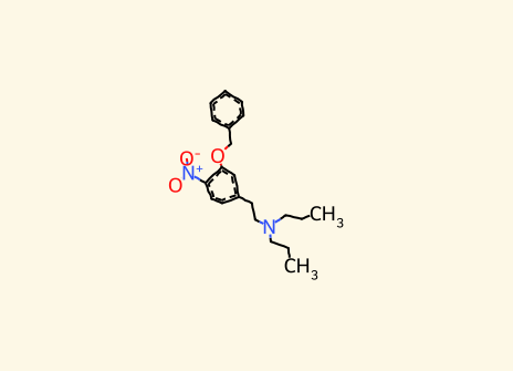 CCCN(CCC)CCc1ccc([N+](=O)[O-])c(OCc2ccccc2)c1